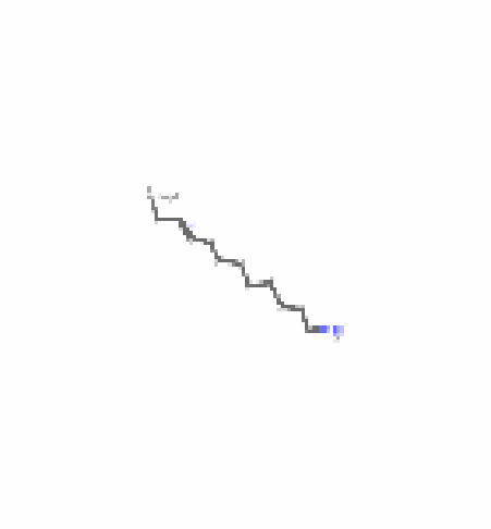 CCCCCCCC/C=C/CCCCCCCC=N